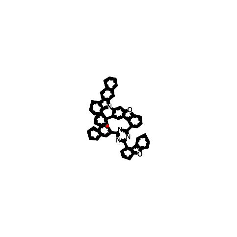 c1ccc(-c2cc3c(cc2-n2c4ccccc4c4cc5ccccc5cc42)oc2cccc(-c4nc(-c5ccc6ccccc6c5)nc(-c5cccc6oc7ccccc7c56)n4)c23)cc1